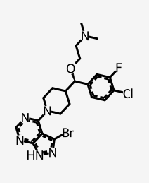 CN(C)CCO[C@@H](c1ccc(Cl)c(F)c1)C1CCN(c2ncnc3[nH]nc(Br)c23)CC1